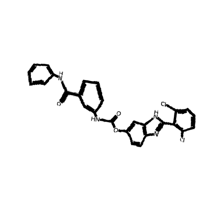 O=C(Nc1cccc(C(=O)Nc2ccccc2)c1)Oc1ccc2nc(-c3c(Cl)cccc3Cl)[nH]c2c1